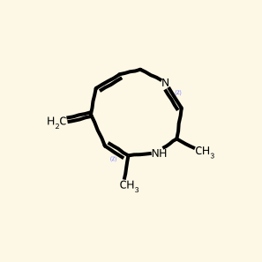 C=C1C=CC/N=C\C(C)N/C(C)=C\1